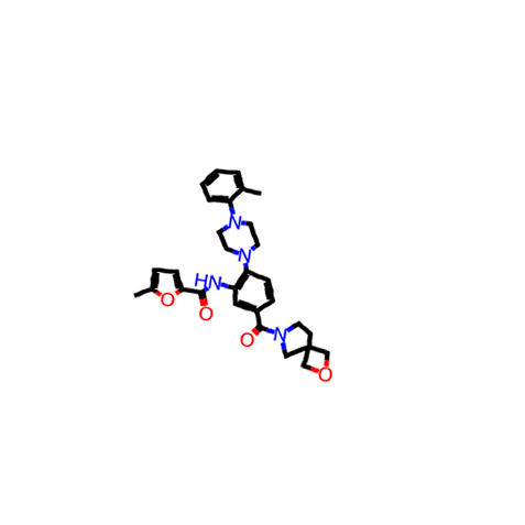 Cc1ccc(C(=O)Nc2cc(C(=O)N3CCC4(COC4)C3)ccc2N2CCN(c3ccccc3C)CC2)o1